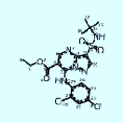 CCOC(=O)c1cnc2c(S(=O)(=O)NC(C)(C)C)cnn2c1Nc1ccc(Cl)cc1Cl